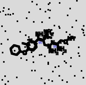 CCCOC/C(N)=N/N(N)C/C(=C(/N)c1ccc(OC2CCCCC2)c(C)n1)N(C)N